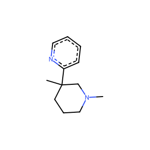 CN1CCCC(C)(c2ccccn2)C1